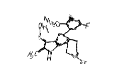 C=C1Nc2c(cc(-c3cc(F)ccc3OC)c3c2CN(CC)CC3)/C1=N\O